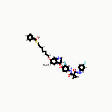 COc1cc2c(Oc3ccc(NC(=O)C4(C(=O)Nc5ccc(F)cc5)CC4)cc3F)ccnc2cc1OCCCCCCCSC(=O)c1ccccc1